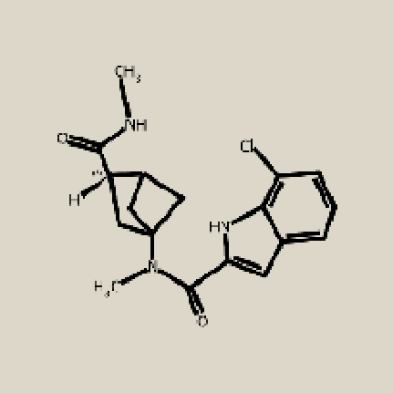 CNC(=O)[C@H]1CC2(N(C)C(=O)c3cc4cccc(Cl)c4[nH]3)CC1C2